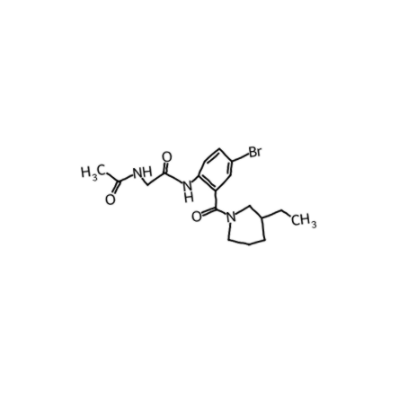 CCC1CCCN(C(=O)c2cc(Br)ccc2NC(=O)CNC(C)=O)C1